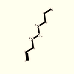 C=CCSSSCCC